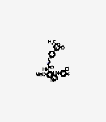 COc1cc2ncnc(Nc3ccc(F)c(Cl)c3)c2cc1NC(=O)/C=C/CN1CCC(N2CC(=O)OC(C)C2)CC1